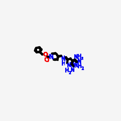 N=C/C(=C\NCC1CCN(C(=O)OCc2ccccc2)CC1)Cc1cc(N)nc(N)c1N